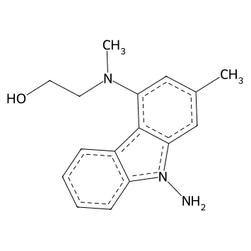 Cc1cc(N(C)CCO)c2c3ccccc3n(N)c2c1